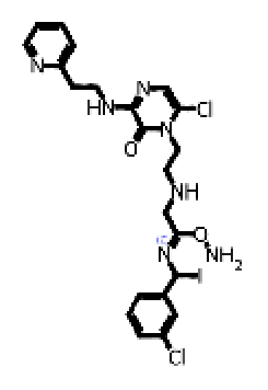 NO/C(CNCCn1c(Cl)cnc(NCCc2ccccn2)c1=O)=N\C(I)c1cccc(Cl)c1